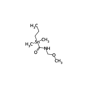 CC[CH2][Sn]([CH3])([CH3])[C](=O)NCOC